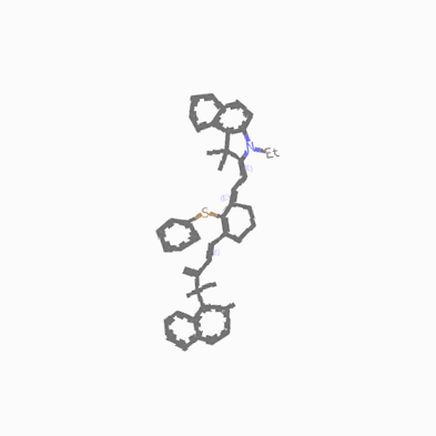 C=C(/C=C/C1=C(Sc2ccccc2)C(=C/C=C2/N(CC)c3ccc4ccccc4c3C2(C)C)/CCC1)C(C)(C)c1c(C)ccc2ccccc12